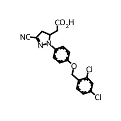 N#CC1=NN(c2ccc(OCc3ccc(Cl)cc3Cl)cc2)C(CC(=O)O)C1